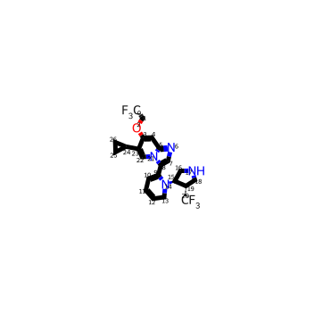 FC(F)(F)COc1cc2ncc(C3=CC=CCN3[C@H]3CNC[C@@H]3C(F)(F)F)n2cc1C1CC1